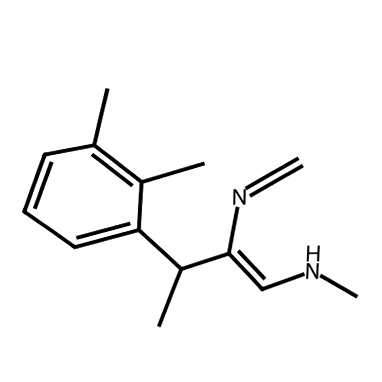 C=N/C(=C\NC)C(C)c1cccc(C)c1C